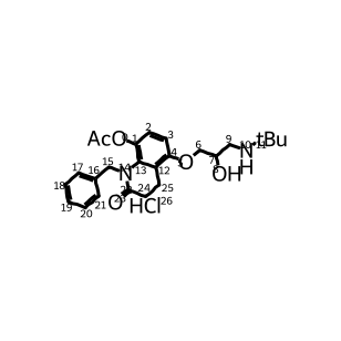 CC(=O)Oc1ccc(OCC(O)CNC(C)(C)C)c2c1N(Cc1ccccc1)C(=O)CC2.Cl